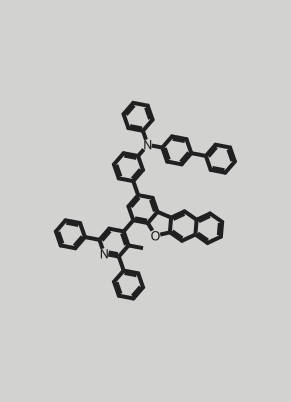 Cc1c(-c2cc(-c3cccc(N(c4ccccc4)c4ccc(-c5ccccc5)cc4)c3)cc3c2oc2cc4ccccc4cc23)cc(-c2ccccc2)nc1-c1ccccc1